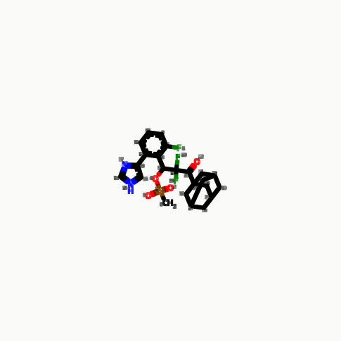 CS(=O)(=O)OC(c1c(F)cccc1-c1c[nH]cn1)C(F)(F)C(=O)C12CC3CC(CC(C3)C1)C2